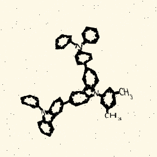 Cc1cc(C)cc(-n2c3ccc(-c4ccc(N(c5ccccc5)c5ccccc5)cc4)cc3c3cc(-c4ccc5c(c4)c4ccccc4n5-c4ccccc4)ccc32)c1